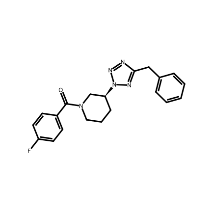 O=C(c1ccc(F)cc1)N1CCC[C@H](n2nnc(Cc3ccccc3)n2)C1